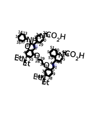 CCN(CC)c1ccc(/C=C(\C(=O)Nc2ccccc2)c2cc[n+](CC(=O)O)cc2)c(OCCCOc2cc(N(CC)CC)ccc2/C=C/c2cc[n+](CC(=O)O)c3ccccc23)c1